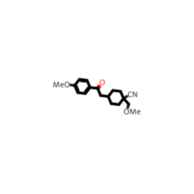 COCC1(C#N)CCC(CC(=O)c2ccc(OC)cc2)CC1